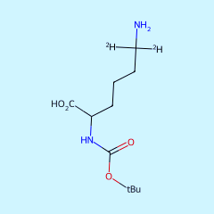 [2H]C([2H])(N)CCCC(NC(=O)OC(C)(C)C)C(=O)O